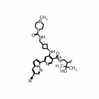 CN1CCN(C(=O)NCC2CC(Nc3cc(-c4ccc5cc(C#N)cnn45)ncc3C(=O)NCC(F)C(C)(C)O)C2)CC1